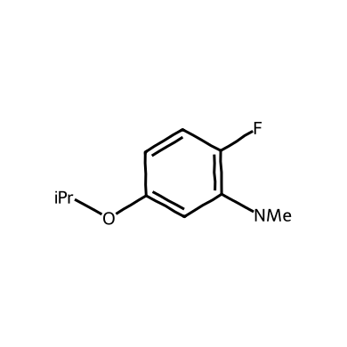 CNc1cc(OC(C)C)ccc1F